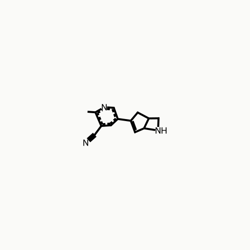 Cc1ncc(C2=CC3NCC3C2)cc1C#N